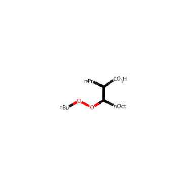 CCCCCCCCC(OOCCCC)C(CCC)C(=O)O